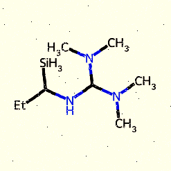 CCC([SiH3])NC(N(C)C)N(C)C